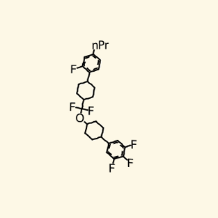 CCCc1ccc(C2CCC(C(F)(F)OC3CCC(c4cc(F)c(F)c(F)c4)CC3)CC2)c(F)c1